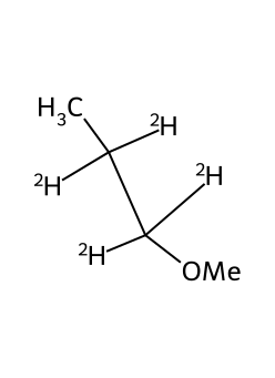 [2H]C([2H])(C)C([2H])([2H])OC